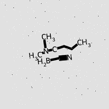 BC#N.CCCCN(C)C